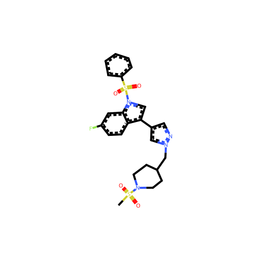 CS(=O)(=O)N1CCC(Cn2cc(-c3cn(S(=O)(=O)c4ccccc4)c4cc(F)ccc34)cn2)CC1